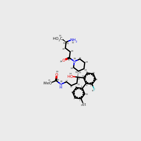 CCc1cccc(-c2c(F)cccc2C(O)(CCCNC(=O)OC)[C@H]2CCCN(C(=O)CC[C@H](N)C(=O)O)C2)c1